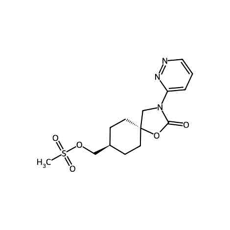 CS(=O)(=O)OC[C@H]1CC[C@]2(CC1)CN(c1cccnn1)C(=O)O2